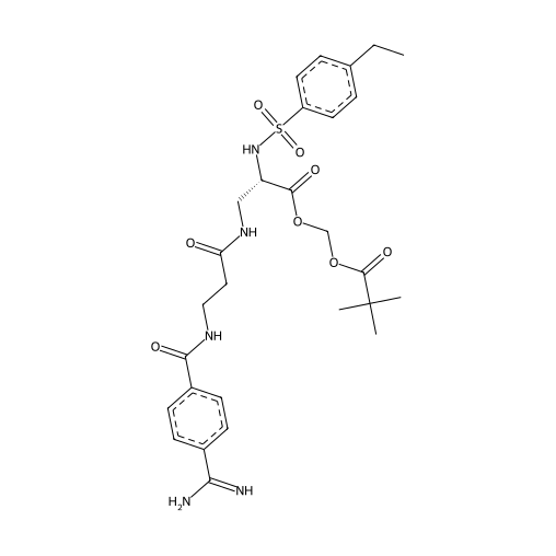 CCc1ccc(S(=O)(=O)N[C@@H](CNC(=O)CCNC(=O)c2ccc(C(=N)N)cc2)C(=O)OCOC(=O)C(C)(C)C)cc1